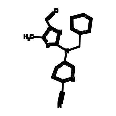 Cc1sc(N(Cc2ccccc2)c2ccc(C#N)nc2)nc1C=O